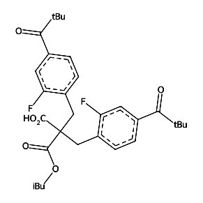 CCC(C)OC(=O)C(Cc1ccc(C(=O)C(C)(C)C)cc1F)(Cc1ccc(C(=O)C(C)(C)C)cc1F)C(=O)O